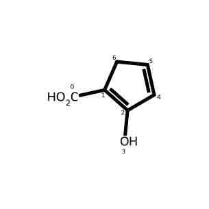 O=C(O)C1=C(O)C=CC1